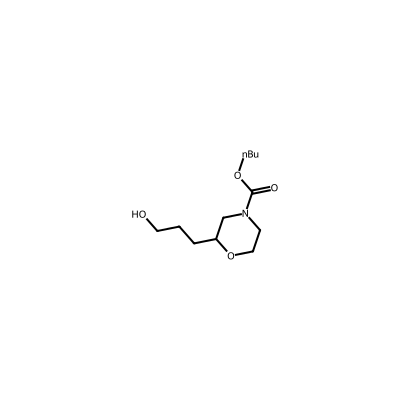 CCCCOC(=O)N1CCOC(CCCO)C1